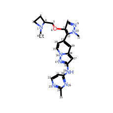 CCN1CCC1COc1cnn(C)c1-c1ccn2nc(Nc3ccnc(C)n3)cc2c1